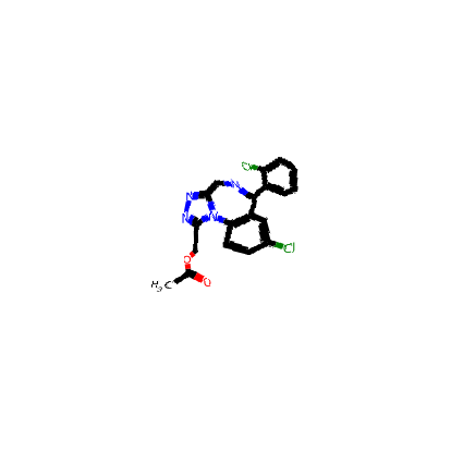 CC(=O)OCc1nnc2n1-c1ccc(Cl)cc1C(c1ccccc1Cl)=NC2